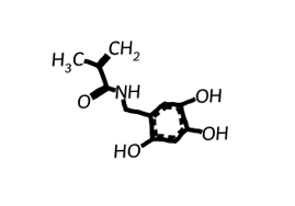 C=C(C)C(=O)NCc1cc(O)c(O)cc1O